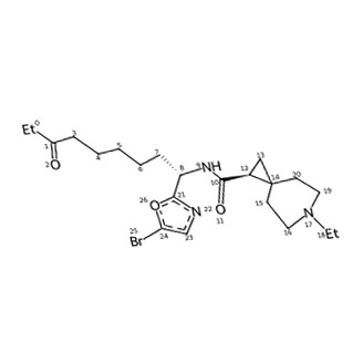 CCC(=O)CCCCC[C@H](NC(=O)[C@H]1CC12CCN(CC)CC2)c1ncc(Br)o1